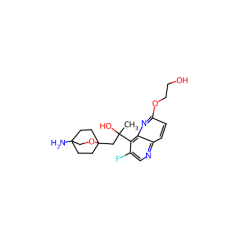 CC(O)(CC12CCC(N)(CC1)CO2)c1c(F)cnc2ccc(OCCO)nc12